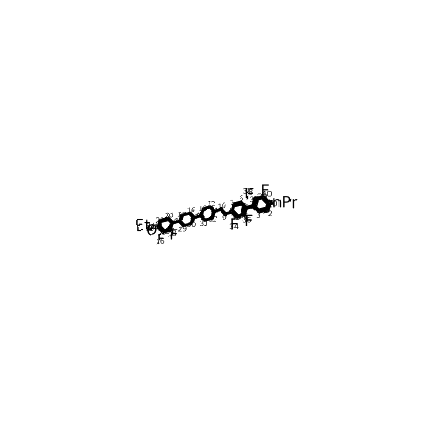 CCCc1ccc(-c2ccc(CCC3CCC(C4CCC(c5ccc(OCC)c(F)c5F)CC4)CC3)c(F)c2F)c(F)c1F